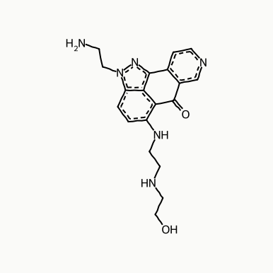 NCCn1nc2c3c(c(NCCNCCO)ccc31)C(=O)c1cnccc1-2